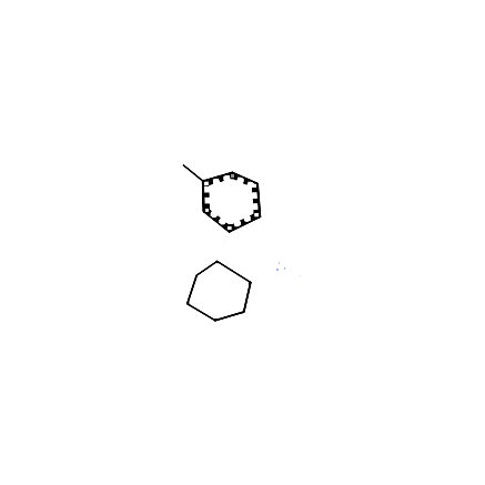 Cc1cccc([C@H]2CCCC[C@H]2N)c1